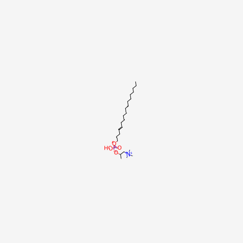 CCCCCCCCCCCCCCCCCCOP(=O)(O)OC(C)C[N+](C)(C)C